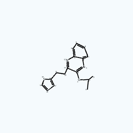 CC(C)Oc1nc2ccccc2nc1CCc1cccs1